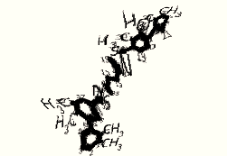 Cc1cccc(-c2cc(-c3nc(CCc4csc(-c5ccc(-c6cccc(C)c6C)c(C)c5C)n4)cs3)cc(C)c2C)c1C